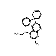 CCOc1nc(N)nc2ncc(C3(c4ccccc4)C=CC=CC3)nc12